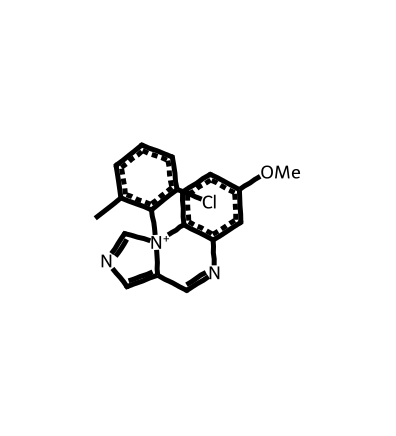 COc1ccc2c(c1)N=CC1=CN=C[N+]12c1c(C)cccc1Cl